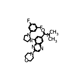 CN(C)C(=O)c1cc([C@H]2CCCN2c2cc(F)cc(F)c2)c2nc(N3CCOCC3)cnc2c1